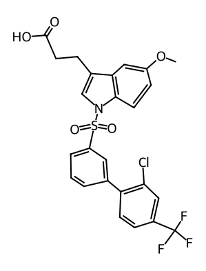 COc1ccc2c(c1)c(CCC(=O)O)cn2S(=O)(=O)c1cccc(-c2ccc(C(F)(F)F)cc2Cl)c1